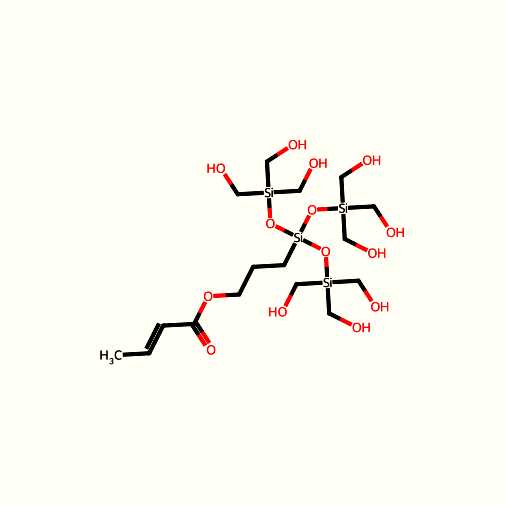 CC=CC(=O)OCCC[Si](O[Si](CO)(CO)CO)(O[Si](CO)(CO)CO)O[Si](CO)(CO)CO